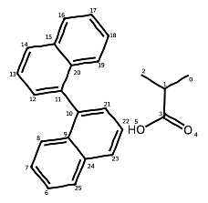 CC(C)C(=O)O.c1ccc2c(-c3cccc4ccccc34)cccc2c1